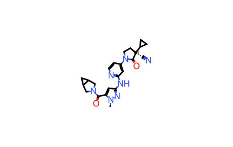 Cn1nc(Nc2cc(N3CC[C@@](C#N)(C4CC4)C3=O)ccn2)cc1C(=O)N1CC2CC2C1